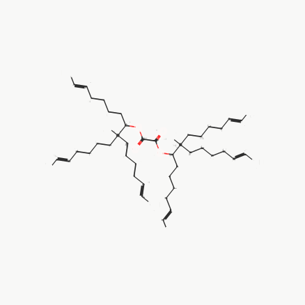 CC=CCCCCC(OC(=O)C(=O)OC(CCCCC=CC)C(C)(CCCCC=CC)CCCCC=CC)C(C)(CCCCC=CC)CCCCC=CC